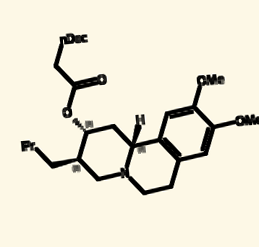 CCCCCCCCCCCC(=O)O[C@@H]1C[C@@H]2c3cc(OC)c(OC)cc3CCN2C[C@H]1CC(C)C